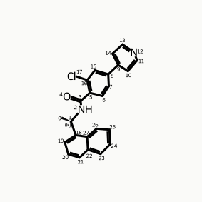 C[C@@H](NC(=O)c1ccc(-c2ccncc2)cc1Cl)c1cccc2ccccc12